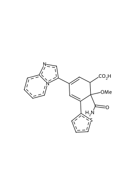 COC1(C(N)=O)C(c2cccs2)=CC(c2cnc3ccccn23)=CC1C(=O)O